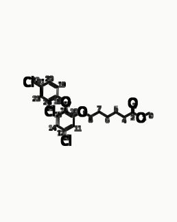 COC(=O)CCCCCOc1cc(Cl)ccc1Oc1ccc(Cl)cc1Cl